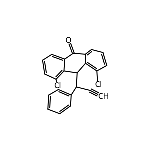 C#CC(c1ccccc1)C1c2c(Cl)cccc2C(=O)c2cccc(Cl)c21